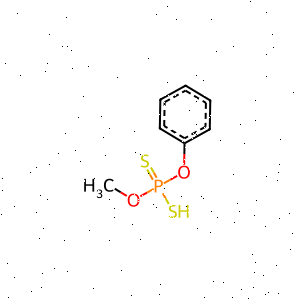 COP(=S)(S)Oc1ccccc1